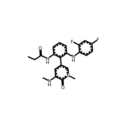 CCC(=O)Nc1cccc(Nc2ccc(F)cc2F)c1-c1cc(NC)c(=O)n(C)c1